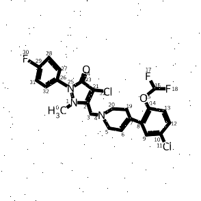 Cn1c(CN2CC=C(c3cc(Cl)ccc3OC(F)F)CC2)c(Cl)c(=O)n1-c1ccc(F)cc1